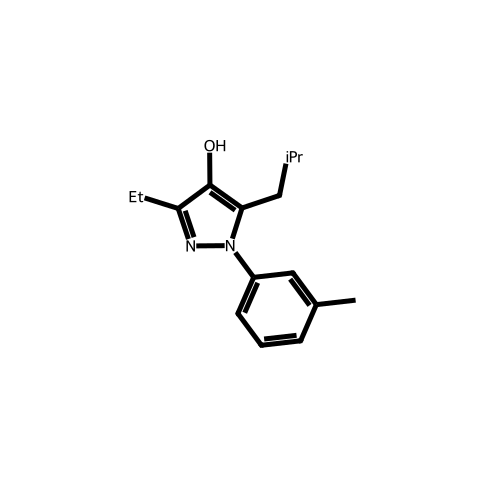 CCc1nn(-c2cccc(C)c2)c(CC(C)C)c1O